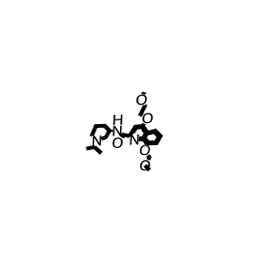 COCCOc1cc(C(=O)N[C@@H]2CCCN(C(C)C)C2)nc2c(OCOC)cccc12